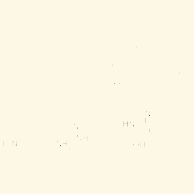 COC1CCCNC(NC(=O)O)C(CCCCN(N)/C=C(\N)c2cccc(N)c2)COC(=O)C(C)C(=O)CC1